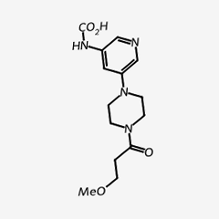 COCCC(=O)N1CCN(c2cncc(NC(=O)O)c2)CC1